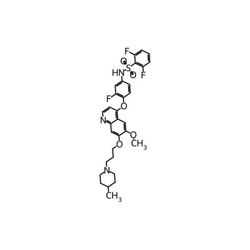 COc1cc2c(Oc3ccc(NS(=O)(=O)c4c(F)cccc4F)cc3F)ccnc2cc1OCCCN1CCC(C)CC1